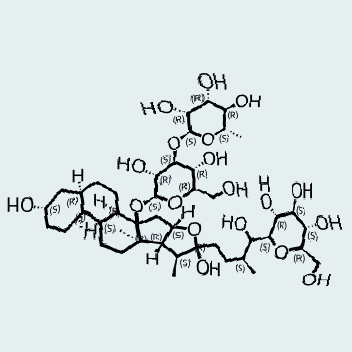 C[C@@H]1O[C@@H](O[C@@H]2[C@@H](O)[C@H](OC34C[C@@H]5O[C@](O)(CC[C@H](C)C(O)[C@@H]6O[C@H](CO)[C@@H](O)[C@H](O)[C@H]6O)[C@@H](C)[C@@H]5[C@@]3(C)CC[C@H]3[C@H]4CC[C@@H]4C[C@@H](O)CC[C@@]43C)O[C@H](CO)[C@H]2O)[C@H](O)[C@H](O)[C@H]1O